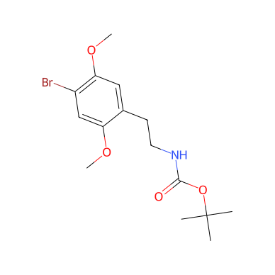 COc1cc(CCNC(=O)OC(C)(C)C)c(OC)cc1Br